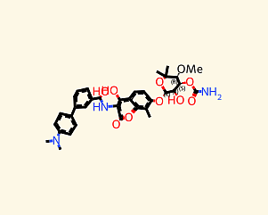 CO[C@@H]1[C@@H](OC(N)=O)[C@@H](O)[C@H](Oc2ccc3c(O)c(NC(O)c4cccc(-c5ccc(N(C)C)cc5)c4)c(=O)oc3c2C)OC1(C)C